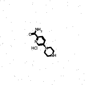 Cl.NC(=O)c1ccc(N2CCNCC2)cn1